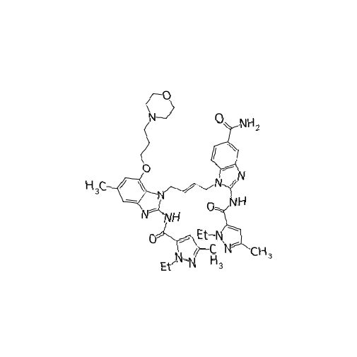 CCn1nc(C)cc1C(=O)Nc1nc2cc(C(N)=O)ccc2n1C/C=C/Cn1c(NC(=O)c2cc(C)nn2CC)nc2cc(C)cc(OCCCN3CCOCC3)c21